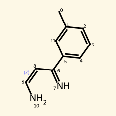 Cc1cccc(C(=N)/C=C\N)c1